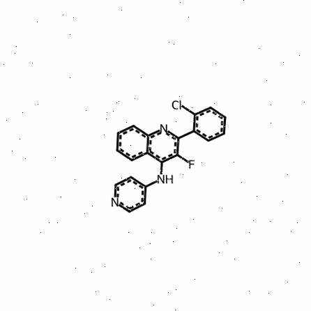 Fc1c(-c2ccccc2Cl)nc2ccccc2c1Nc1ccncc1